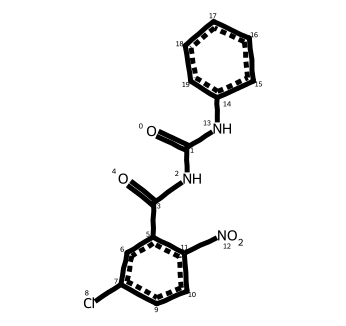 O=C(NC(=O)c1cc(Cl)ccc1[N+](=O)[O-])Nc1ccccc1